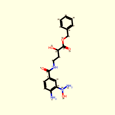 Nc1ccc(C(=O)NCCC(O)C(=O)OCc2ccccc2)cc1N(N)O